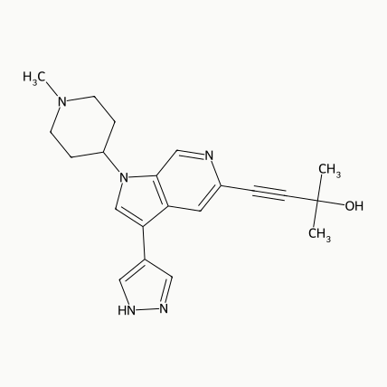 CN1CCC(n2cc(-c3cn[nH]c3)c3cc(C#CC(C)(C)O)ncc32)CC1